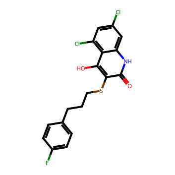 O=c1[nH]c2cc(Cl)cc(Cl)c2c(O)c1SCCCc1ccc(F)cc1